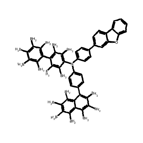 Bc1c(B)c(B)c(-c2c(B)c(B)c(N(c3ccc(-c4ccc5c(c4)oc4ccccc45)cc3)c3ccc(-c4c(B)c(B)c(B)c5c(B)c(B)c(B)c(B)c45)cc3)c(B)c2B)c(B)c1B